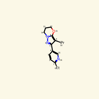 CCc1ccc(-c2nn3c(c2C(C)C)OCCC3)cn1